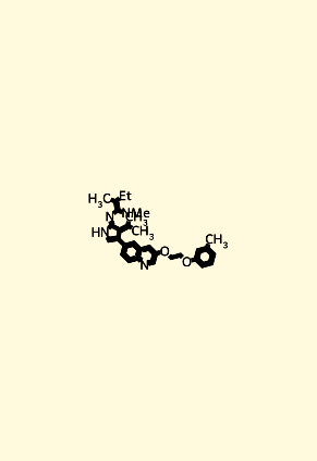 CC/C(C)=C(/N=C1/NC=C(c2ccc3ncc(OCCOc4cccc(C)c4)cc3c2)C1=C(C)C)NC